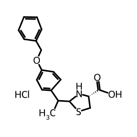 CC(c1ccc(OCc2ccccc2)cc1)C1N[C@H](C(=O)O)CS1.Cl